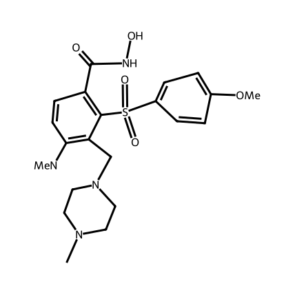 CNc1ccc(C(=O)NO)c(S(=O)(=O)c2ccc(OC)cc2)c1CN1CCN(C)CC1